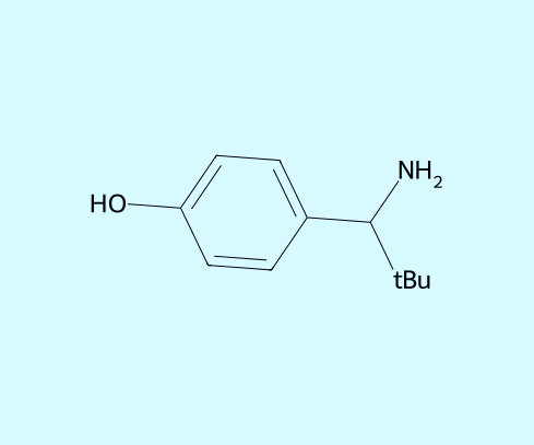 CC(C)(C)C(N)c1ccc(O)cc1